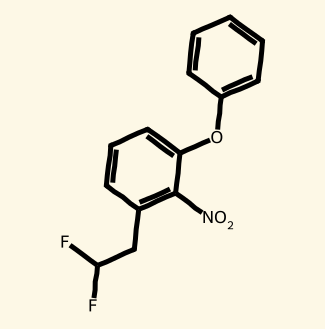 O=[N+]([O-])c1c(CC(F)F)cccc1Oc1ccccc1